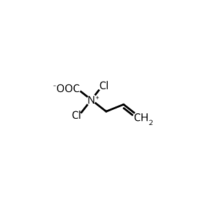 C=CC[N+](Cl)(Cl)C(=O)[O-]